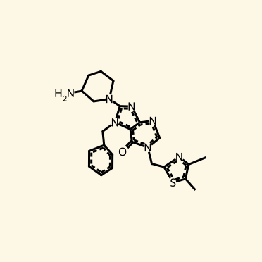 Cc1nc(Cn2cnc3nc(N4CCCC(N)C4)n(Cc4ccccc4)c3c2=O)sc1C